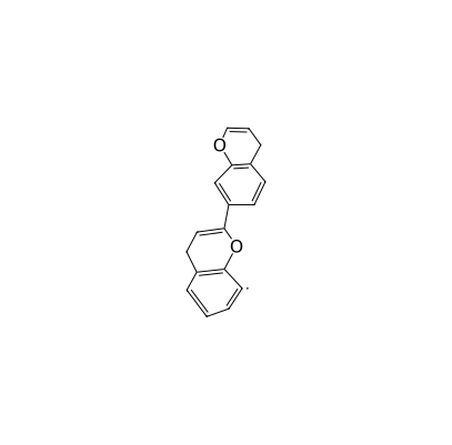 [c]1cccc2c1OC(c1ccc3c(c1)OC=CC3)=CC2